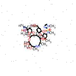 CCCNC[C@@]1(O)[C@@H](C)OC(O[C@H]2[C@H](C)[C@@H](O[C@@H]3O[C@H](C)C[C@H](N(C)S(=O)(=O)c4nccn4C)[C@H]3Oc3cccc(CO)c3)[C@](C)(O)C[C@@H](C)CN[C@H](C)[C@@H](O)[C@](C)(O)[C@@H](CC)OC(=O)[C@@H]2C)C[C@]1(C)OC